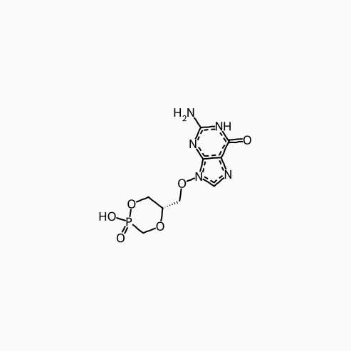 Nc1nc2c(ncn2OC[C@H]2COP(=O)(O)CO2)c(=O)[nH]1